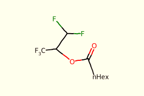 CCCCCCC(=O)OC(C(F)F)C(F)(F)F